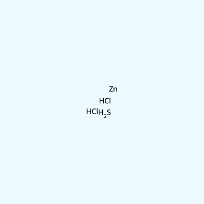 Cl.Cl.S.[Zn]